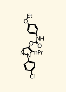 CCCc1c(OC(=O)Nc2ccc(OCC)cc2)cnn1-c1ccc(Cl)cc1